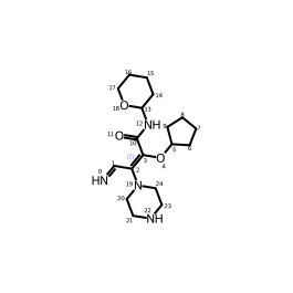 N=C/C(=C(/OC1CCCC1)C(=O)NC1CCCCO1)N1CCNCC1